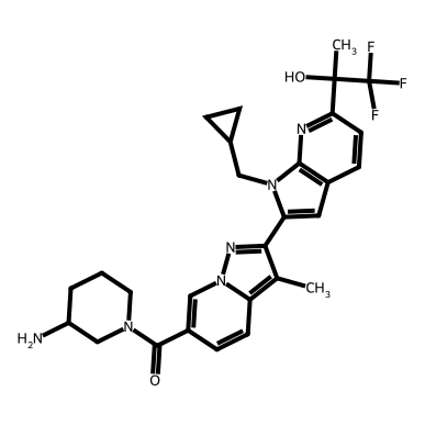 Cc1c(-c2cc3ccc(C(C)(O)C(F)(F)F)nc3n2CC2CC2)nn2cc(C(=O)N3CCCC(N)C3)ccc12